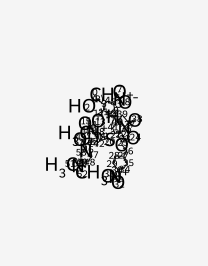 C[C@@H](O)c1cc([N+](=O)[O-])ccc1COC(=O)[N@+]1(C)C[C@@H](SC2=C(C(=O)OCc3ccc([N+](=O)[O-])cc3)N3C(=O)C[C@H]3C2)C[C@H]1C(=O)N1CC[C@H](N(C)C)C1